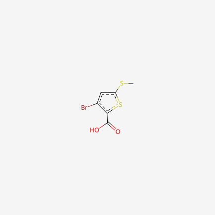 CSc1cc(Br)c(C(=O)O)s1